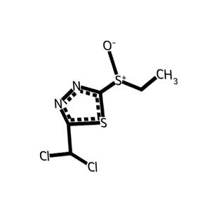 CC[S+]([O-])c1nnc(C(Cl)Cl)s1